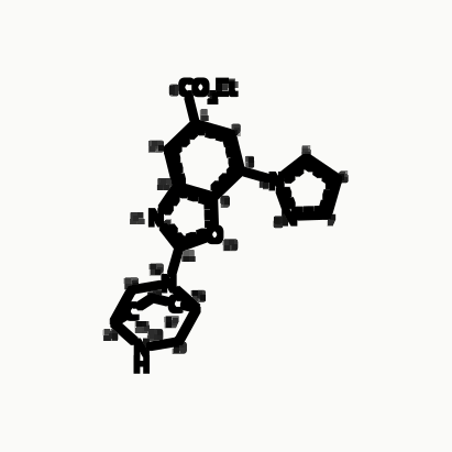 CCOC(=O)c1cc(-n2cccn2)c2oc(N3CC4CCCC3CN4)nc2c1